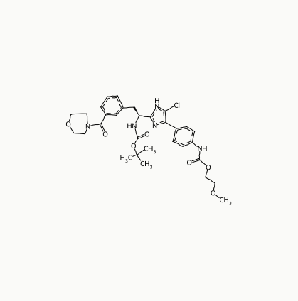 COCCOC(=O)Nc1ccc(-c2nc([C@H](Cc3cccc(C(=O)N4CCOCC4)c3)NC(=O)OC(C)(C)C)[nH]c2Cl)cc1